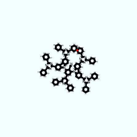 N#Cc1c(-n2c3ccc(-c4nc(-c5ccccc5)nc(-c5ccccc5)n4)cc3c3cc(-c4nc(-c5ccccc5)nc(-c5ccccc5)n4)ccc32)cc(-c2cc(-c3ccccc3)nc(-c3ccccc3)c2)cc1-n1c2ccc(-c3nc(-c4ccccc4)nc(-c4ccccc4)n3)cc2c2cc(-c3nc(-c4ccccc4)nc(-c4ccccc4)n3)ccc21